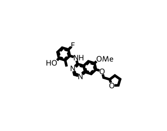 COc1cc2c(Nc3c(F)ccc(O)c3C)ncnc2cc1OCC1CCCO1